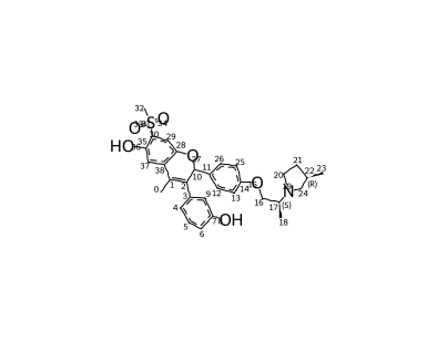 CC1=C(c2cccc(O)c2)C(c2ccc(OC[C@H](C)N3CC[C@@H](C)C3)cc2)Oc2cc(S(C)(=O)=O)c(O)cc21